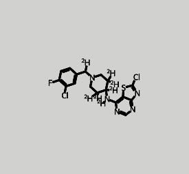 [2H]C(c1ccc(F)c(Cl)c1)N1CC([2H])([2H])C([2H])(N([2H])c2ncnc3nc(Cl)sc23)C([2H])([2H])C1